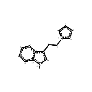 c1ccc2c(CCn3cccc3)c[nH]c2c1